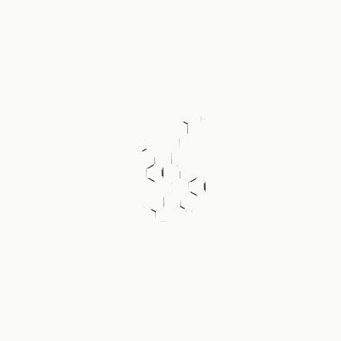 CC(=O)Oc1ccccc1C(CCCCC(=O)O)SC(CCCCC(=O)O)c1ccccc1OC(C)=O